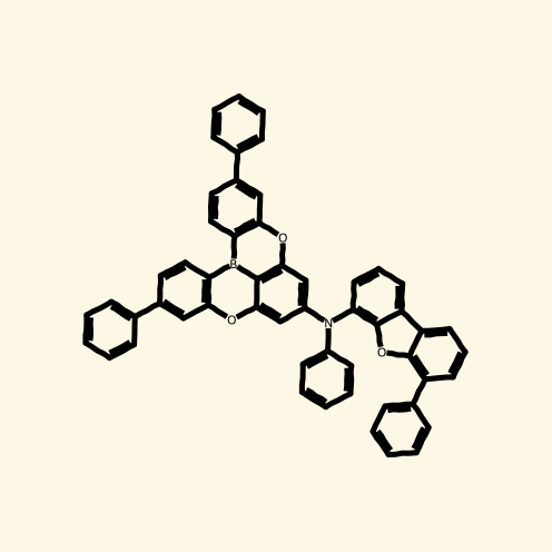 c1ccc(-c2ccc3c(c2)Oc2cc(N(c4ccccc4)c4cccc5c4oc4c(-c6ccccc6)cccc45)cc4c2B3c2ccc(-c3ccccc3)cc2O4)cc1